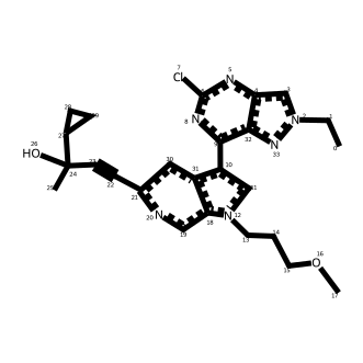 CCn1cc2nc(Cl)nc(-c3cn(CCCOC)c4cnc(C#CC(C)(O)C5CC5)cc34)c2n1